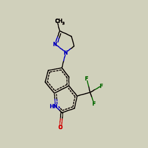 CC1=NN(c2ccc3[nH]c(=O)cc(C(F)(F)F)c3c2)CC1